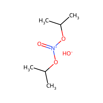 CC(C)O[N+](=O)OC(C)C.[OH-]